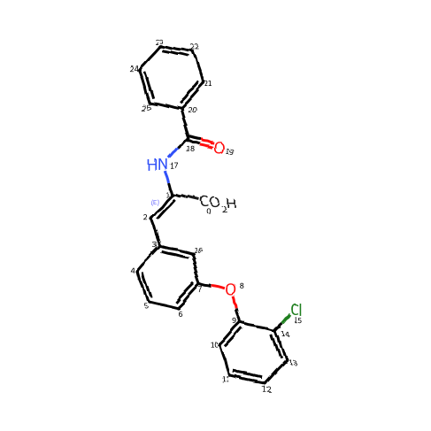 O=C(O)/C(=C\c1cccc(Oc2ccccc2Cl)c1)NC(=O)c1ccccc1